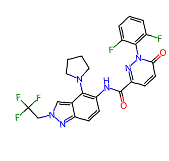 O=C(Nc1ccc2nn(CC(F)(F)F)cc2c1N1CCCC1)c1ccc(=O)n(-c2c(F)cccc2F)n1